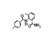 Cc1ccc(C(=O)Nc2c(C)cccc2C(N)=O)cc1